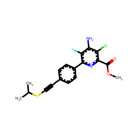 COC(=O)c1nc(-c2ccc(C#CSC(C)C)cc2)c(F)c(N)c1Cl